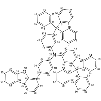 c1ccc(C2(c3ccccc3)c3ccccc3-c3ccc(N(c4ccc(-c5cccc6c5oc5ccccc56)cc4)c4ccc5c(c4)C(c4ccccc4)(c4ccccc4)c4ccccc4-5)cc32)cc1